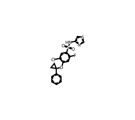 O=S(=O)(Nc1cscn1)c1cc(Cl)c(OC2(c3ccccc3)CC2)cc1F